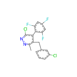 Cc1nnc(Cl)c(-c2c(F)cc(F)cc2F)c1Cc1cccc(Cl)c1